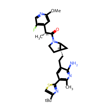 COc1cc([C@@H](C)C(=O)N2CC[C@]3(CCc4cc(-c5nc(C(C)(C)C)cs5)c(C)nc4N)CC23)c(F)cn1